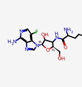 CCCC(N)C(=O)NC1C(O)[C@H](n2cnc3c(N)ncc(F)c32)O[C@@H]1CO